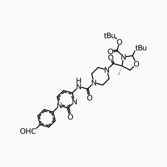 CC(C)(C)OC(=O)N1C(C(C)(C)C)OC[C@@]1(C)C(=O)N1CCN(C(=O)Nc2ccn(-c3ccc(C=O)cc3)c(=O)n2)CC1